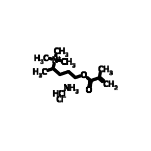 C=C(C)C(=O)OCCCC(C)[N+](C)(C)C.Cl.N.[Cl-]